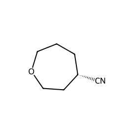 N#C[C@H]1CCCOCC1